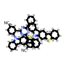 N#Cc1ccc(-n2c3ccccc3c3cc4c(cc32)sc2ccccc24)c(-c2nc(-c3ccccc3)nc(-c3cc(C#N)ccc3-n3c4ccccc4c4cc5c(cc43)sc3ccccc35)n2)c1